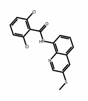 CSc1cnc2c(NC(=O)c3c(Cl)cccc3Cl)cccc2c1